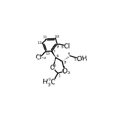 CC1O[C@@H](CO)[C@H](c2c(Cl)cccc2Cl)O1